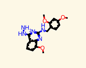 COc1ccc(CNc2nc(NN)c3cccc(OC)c3n2)c(OC)c1